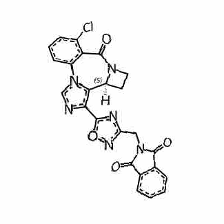 O=C1c2ccccc2C(=O)N1Cc1noc(-c2ncn3c2[C@@H]2CCN2C(=O)c2c(Cl)cccc2-3)n1